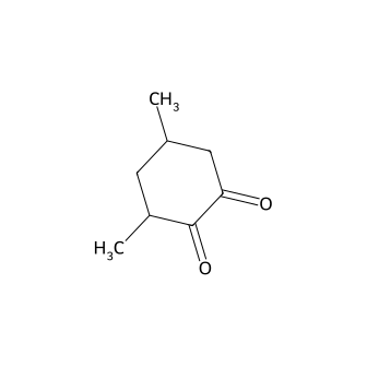 CC1CC(=O)C(=O)C(C)C1